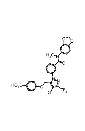 CN(C(=O)c1cccc(-n2nc(C(F)(F)F)c(Cl)c2COc2ccc(C(=O)O)cc2)c1)c1ccc2c(c1)OCO2